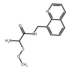 COSC(N)C(=O)NCc1cccc2cccnc12